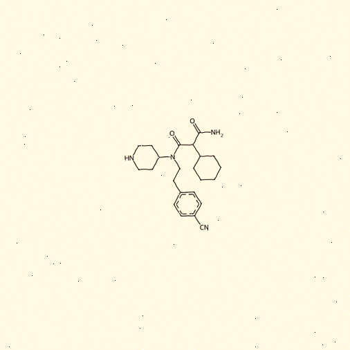 N#Cc1ccc(CCN(C(=O)C(C(N)=O)C2CCCCC2)C2CCNCC2)cc1